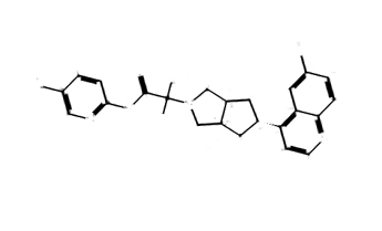 CC(C)(C(=O)Nc1ccc(Cl)cn1)N1C[C@H]2C[C@@H](c3ccnc4ccc(F)cc34)C[C@H]2C1